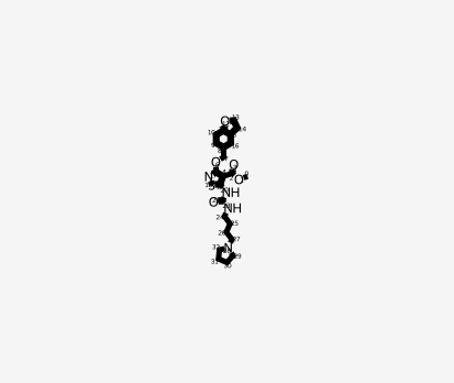 COC(=O)c1c(OCc2ccc3occc3c2)nsc1NC(=O)NCCCCN1CCCC1